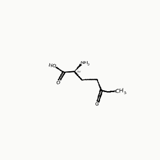 CC(=O)CC[C@H](N)C(=O)O